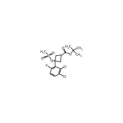 CC(C)(C)OC(=O)N1CC(OS(C)(=O)=O)(c2c(F)ccc(Cl)c2Cl)C1